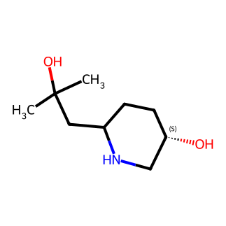 CC(C)(O)CC1CC[C@H](O)CN1